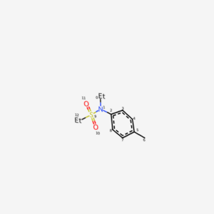 CCN(c1ccc(C)cc1)S(=O)(=O)CC